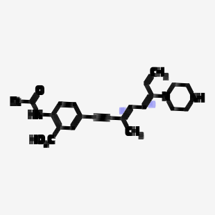 C=C/C(=C\C=C(/C)C#Cc1ccc(NC(=O)CC)c(C(=O)O)c1)N1CCNCC1